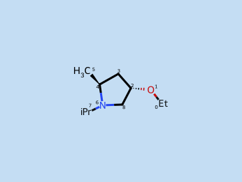 CCO[C@H]1C[C@H](C)N(C(C)C)C1